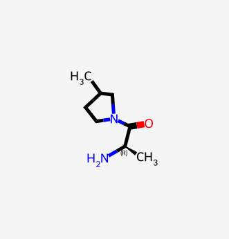 CC1CCN(C(=O)[C@@H](C)N)C1